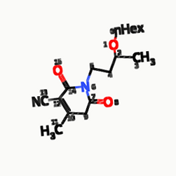 CCCCCCOC(C)CCN1C(=O)CC(C)=C(C#N)C1=O